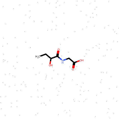 CCC(O)C(=O)NCC(=O)O